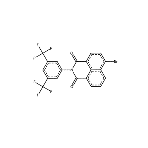 O=C1c2cccc3c(Br)ccc(c23)C(=O)N1c1cc(C(F)(F)F)cc(C(F)(F)F)c1